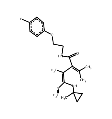 C=N/C(NC1(C)CC1)=C(\C)C(C(=O)NCCOc1ccc(F)cc1)=C(C)C